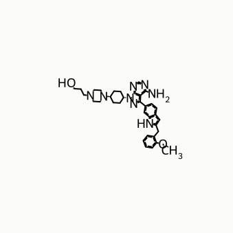 COc1ccccc1Cc1cc2ccc(-c3nn([C@H]4CC[C@H](N5CCN(CCCO)CC5)CC4)c4ncnc(N)c34)cc2[nH]1